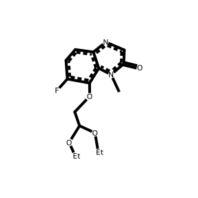 CCOC(COc1c(F)ccc2ncc(=O)n(C)c12)OCC